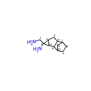 NCC1(N)C2CC3C4CCC(C4)C3C21